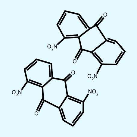 O=C1c2cccc([N+](=O)[O-])c2C(=O)c2c1cccc2[N+](=O)[O-].O=C1c2cccc([N+](=O)[O-])c2C(=O)c2cccc([N+](=O)[O-])c21